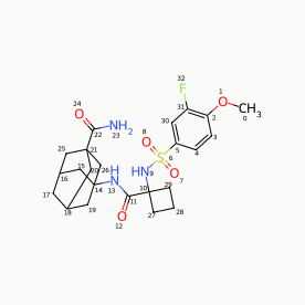 COc1ccc(S(=O)(=O)NC2(C(=O)NC34CC5CC(C3)CC(C(N)=O)(C5)C4)CCC2)cc1F